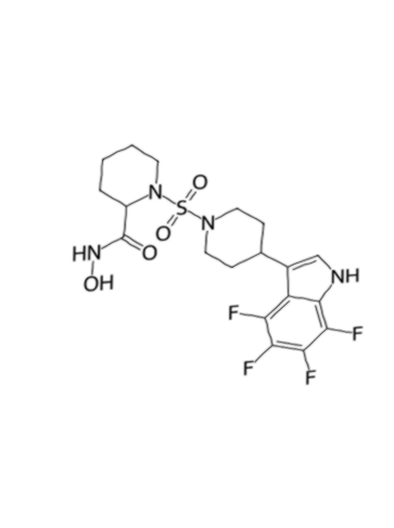 O=C(NO)C1CCCCN1S(=O)(=O)N1CCC(c2c[nH]c3c(F)c(F)c(F)c(F)c23)CC1